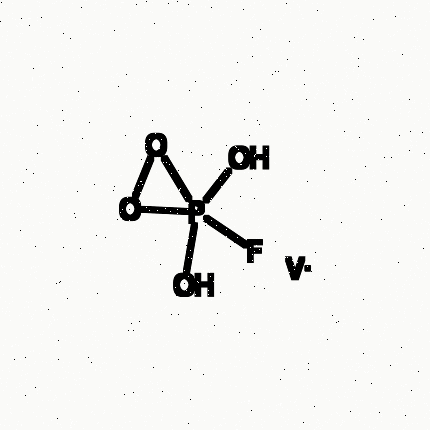 OP1(O)(F)OO1.[V]